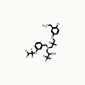 CCc1cc(OCC(F)(F)CN(Cc2cccc(OC(F)(F)C(F)F)c2)CC(O)C(F)(F)F)ccc1Cl